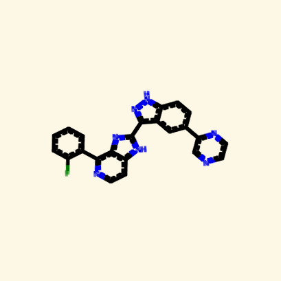 Fc1ccccc1-c1nccc2[nH]c(-c3n[nH]c4ccc(-c5cnccn5)cc34)nc12